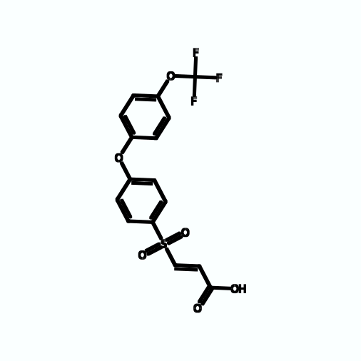 O=C(O)/C=C/S(=O)(=O)c1ccc(Oc2ccc(OC(F)(F)F)cc2)cc1